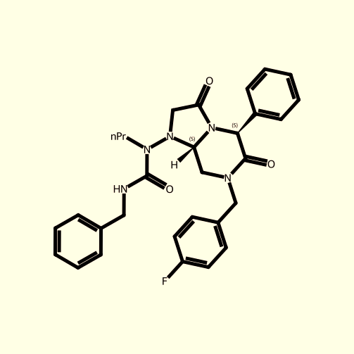 CCCN(C(=O)NCc1ccccc1)N1CC(=O)N2[C@@H](c3ccccc3)C(=O)N(Cc3ccc(F)cc3)C[C@@H]21